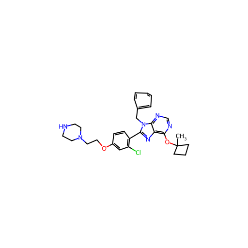 CC1(Oc2ncnc3c2nc(-c2ccc(OCCN4CCNCC4)cc2Cl)n3Cc2ccccc2)CCC1